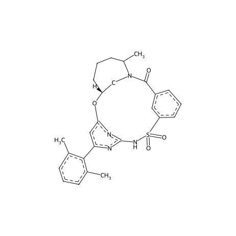 Cc1cccc(C)c1-c1cc2nc(n1)NS(=O)(=O)c1cccc(c1)C(=O)N1C[C@@H](CCCC1C)O2